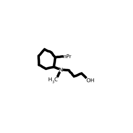 CCCC1CCCCCC1N(C)CCCO